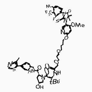 COc1cc(OCCCCOCCCOCC(=O)N[C@H](C(=O)N2C[C@H](O)C[C@H]2C(=O)NCc2ccc(-c3scnc3C)cc2)C(C)(C)C)ncc1N1C(=S)N(c2ccc(C#N)c(C(F)(F)F)c2F)C(=O)C1(C)C